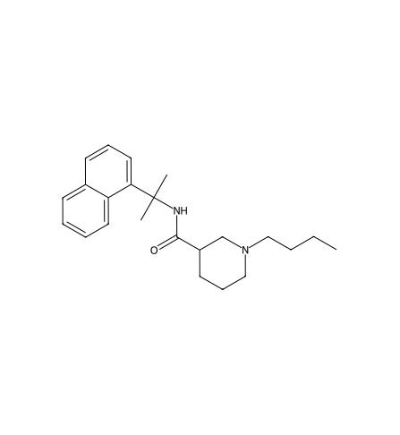 CCCCN1CCCC(C(=O)NC(C)(C)c2cccc3ccccc23)C1